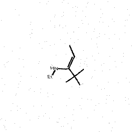 C/C=C(\NCC)C(C)(C)C